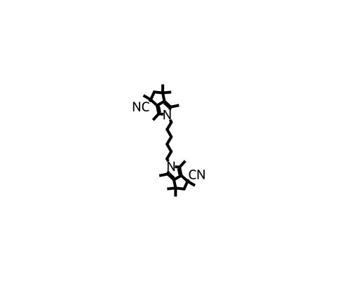 Cc1c2c(c(C)n1CCCCCCn1c(C)c3c(c1C)C(C)(C#N)CC3(C)C)C(C)(C#N)CC2(C)C